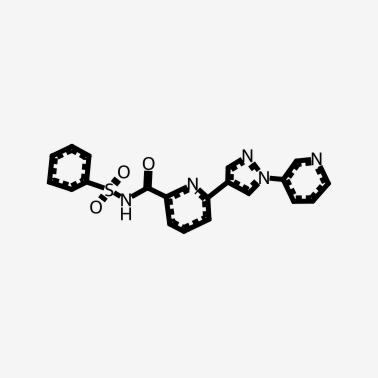 O=C(NS(=O)(=O)c1ccccc1)c1cccc(-c2cnn(-c3cccnc3)c2)n1